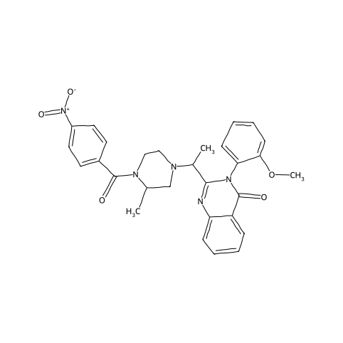 COc1ccccc1-n1c(C(C)N2CCN(C(=O)c3ccc([N+](=O)[O-])cc3)C(C)C2)nc2ccccc2c1=O